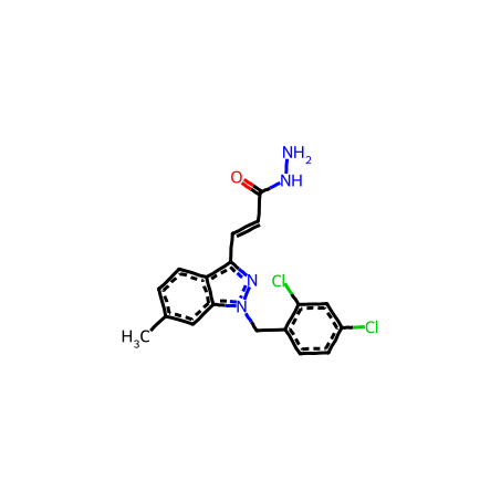 Cc1ccc2c(/C=C/C(=O)NN)nn(Cc3ccc(Cl)cc3Cl)c2c1